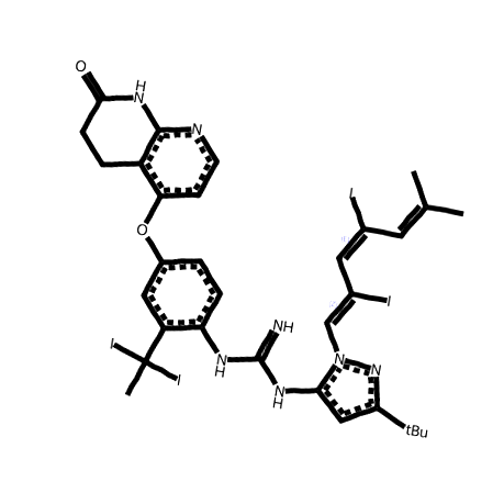 CC(C)=C/C(I)=C\C(I)=C\n1nc(C(C)(C)C)cc1NC(=N)Nc1ccc(Oc2ccnc3c2CCC(=O)N3)cc1C(C)(I)I